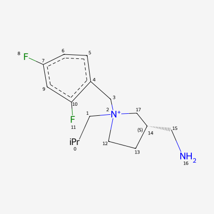 CC(C)C[N+]1(Cc2ccc(F)cc2F)CC[C@@H](CN)C1